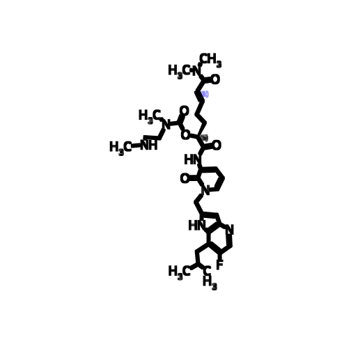 CNCCN(C)C(=O)O[C@@H](CC/C=C/C(=O)N(C)C)C(=O)Nc1cccn(Cc2cc3ncc(F)c(CC(C)C)c3[nH]2)c1=O